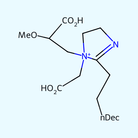 CCCCCCCCCCCCC1=NCC[N+]1(CC(=O)O)CC(OC)C(=O)O